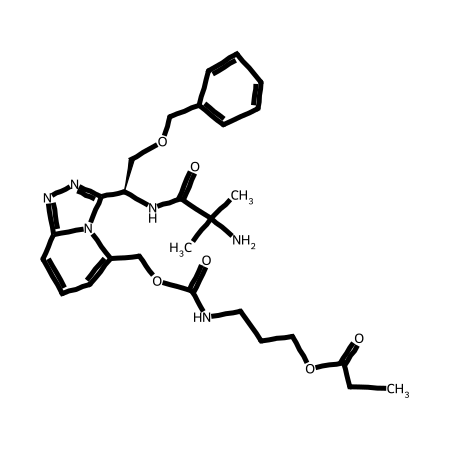 CCC(=O)OCCCNC(=O)OCc1cccc2nnc([C@@H](COCc3ccccc3)NC(=O)C(C)(C)N)n12